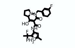 Cc1cc(NC(=O)C2=C(O)C3CCCN3N(CC3=CCCC(F)=C3)C2=O)c(C(C)(F)P)o1